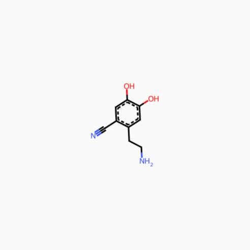 N#Cc1cc(O)c(O)cc1CCN